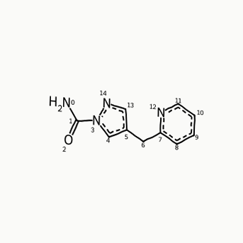 NC(=O)n1cc(Cc2ccccn2)cn1